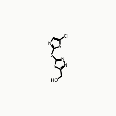 OCc1nnc(Sc2ncc(Cl)s2)s1